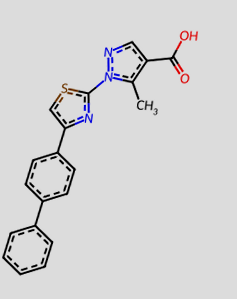 Cc1c(C(=O)O)cnn1-c1nc(-c2ccc(-c3ccccc3)cc2)cs1